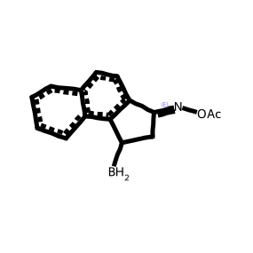 BC1C/C(=N\OC(C)=O)c2ccc3ccccc3c21